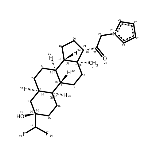 C[C@]12CC[C@H]3[C@@H](CC[C@@H]4C[C@@](O)(C(F)F)CC[C@@H]43)[C@@H]1CC[C@@H]2C(=O)Cn1cccc1